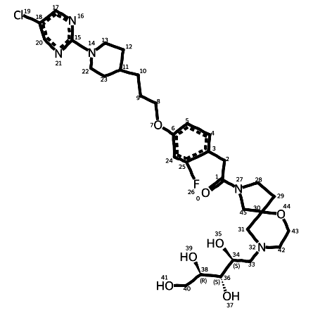 O=C(Cc1ccc(OCCCC2CCN(c3ncc(Cl)cn3)CC2)cc1F)N1CCC2(CN(C[C@H](O)[C@H](O)[C@H](O)CO)CCO2)C1